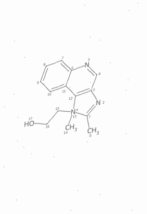 CC1=Nc2cnc3ccccc3c2[N+]1(C)CCO